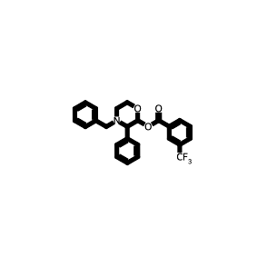 O=C(OC1OCCN(Cc2ccccc2)C1c1ccccc1)c1cccc(C(F)(F)F)c1